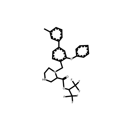 Cc1cccc(-c2ccc(CN3CCNCC3C(=O)OC(C(F)(F)F)C(F)(F)F)c(Oc3ccccc3)c2)c1